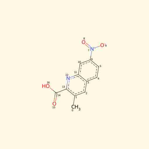 Cc1cc2ccc([N+](=O)[O-])cc2nc1C(=O)O